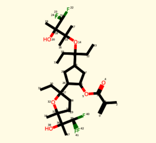 C=C(C)C(=O)OC1CC(C(CC)(CC)OC(C)(C)C(C)(O)C(F)(F)F)CC1C(CC)(CC)OC(C)(C)C(C)(O)C(F)(F)F